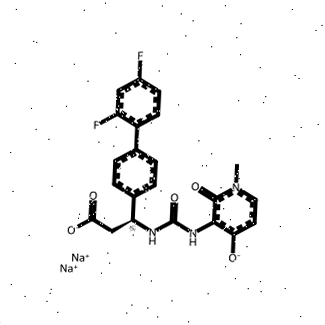 Cn1ccc([O-])c(NC(=O)N[C@@H](CC(=O)[O-])c2ccc(-c3ccc(F)cc3F)cc2)c1=O.[Na+].[Na+]